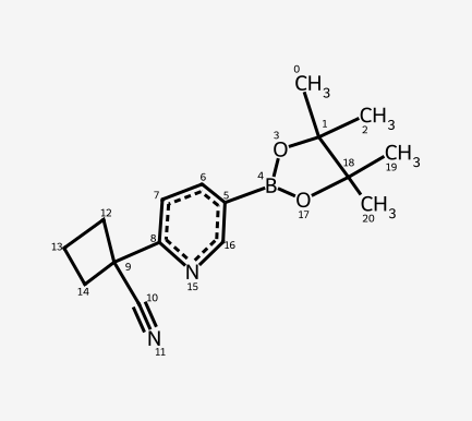 CC1(C)OB(c2ccc(C3(C#N)CCC3)nc2)OC1(C)C